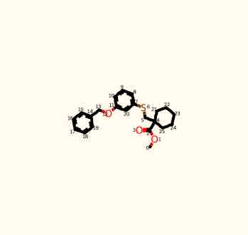 COC(=O)C1(CSc2cccc(OCc3ccccc3)c2)CCCCC1